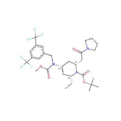 CC[C@@H]1C[C@H](N(Cc2cc(C(F)(F)F)cc(C(F)(F)F)c2)C(=O)OC)C[C@H](CC(=O)N2CCCC2)N1C(=O)OC(C)(C)C